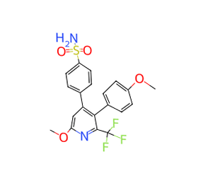 COc1ccc(-c2c(-c3ccc(S(N)(=O)=O)cc3)cc(OC)nc2C(F)(F)F)cc1